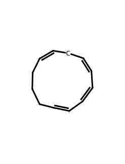 [C]1=CCCCC=CCC=CC=C1